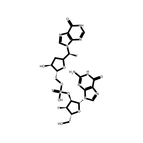 Nc1nc2c(ncn2[C@@H]2O[C@H](CO)[C@@H](F)[C@H]2OP(O)(=S)OC[C@H]2OC([C@H](F)n3cnc4c(=O)[nH]cnc43)C[C@@H]2O)c(=O)[nH]1